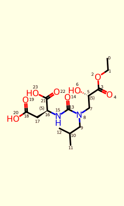 CCOC(=O)[C@@H](O)CN(CC(C)C)C(=O)N[C@@H](CC(=O)O)C(=O)O